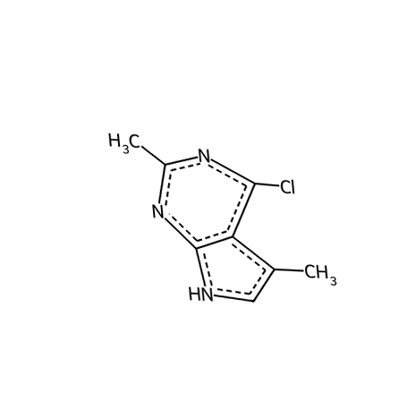 Cc1nc(Cl)c2c(C)c[nH]c2n1